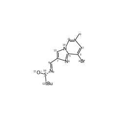 Cc1cc(Br)c2nc(/C=N/[S+]([O-])C(C)(C)C)cn2c1